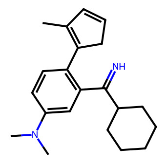 CC1=C(c2ccc(N(C)C)cc2C(=N)C2CCCCC2)CC=C1